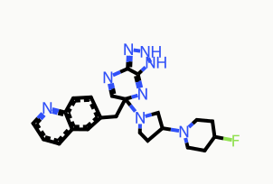 FC1CCN(C2CCN(C3(Cc4ccc5ncccc5c4)C=NC4=NNNC4=N3)C2)CC1